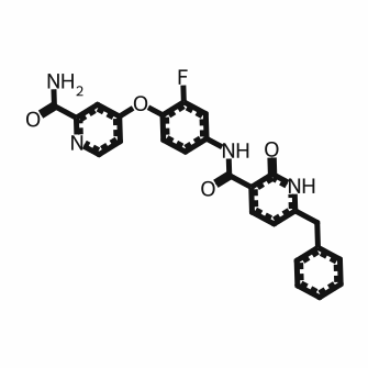 NC(=O)c1cc(Oc2ccc(NC(=O)c3ccc(Cc4ccccc4)[nH]c3=O)cc2F)ccn1